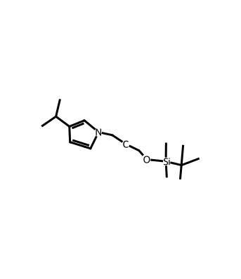 CC(C)c1ccn(CCCO[Si](C)(C)C(C)(C)C)c1